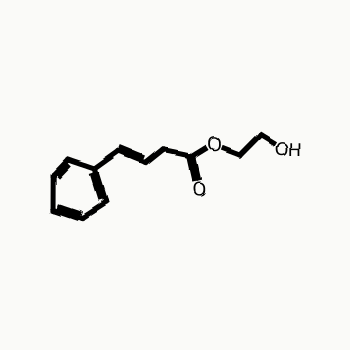 O=C(CC=Cc1ccccc1)OCCO